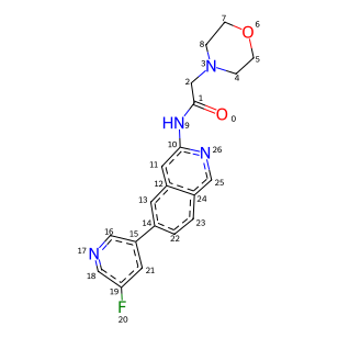 O=C(CN1CCOCC1)Nc1cc2cc(-c3cncc(F)c3)ccc2cn1